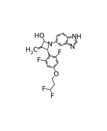 C=C1C(O)N(c2ccc3[nH]cnc3c2)[C@H]1c1c(F)cc(OCCC(F)F)cc1F